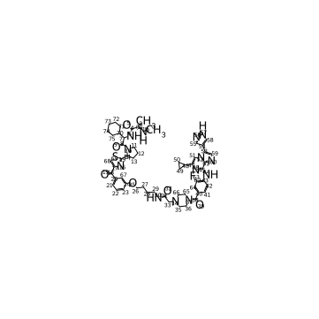 CN[C@@H](C)C(=O)NC(C(=O)N1CCC[C@H]1c1nc(C(=O)c2cccc(OCCCCNC(=O)CN3CCN(C(=O)c4ccc(Nc5nc(C6CC6)cn6c(-c7cn[nH]c7)cnc56)c(F)c4)CC3)c2)cs1)C1CCCCC1